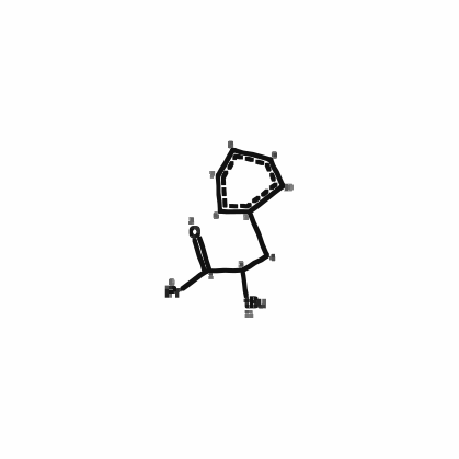 CC(C)C(=O)C(Cc1ccccc1)C(C)(C)C